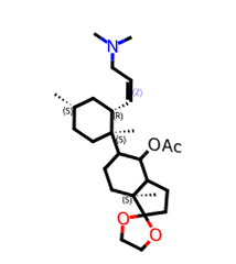 CC(=O)OC1C2CCC3(OCCO3)[C@@]2(C)CCC1[C@@]1(C)CC[C@H](C)C[C@@H]1/C=C\CN(C)C